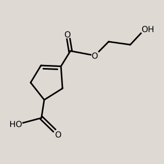 O=C(OCCO)C1=CCC(C(=O)O)C1